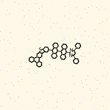 c1ccc(-c2cc(-c3ccccc3)nc(-c3c4ccccc4c(-c4c5ccccc5c(-c5ccc6sc7cc8c9ccccc9c9ccccc9c8cc7c6c5)c5ccccc45)c4ccccc34)n2)cc1